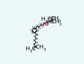 CC(C)CCCCCCc1cccc(CCCCCOCCC(C)(C)C)c1